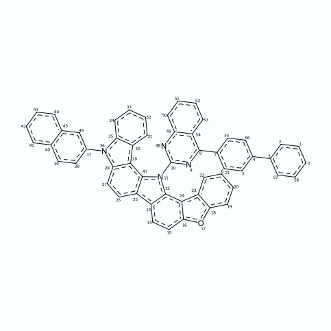 c1ccc(-c2ccc(-c3nc(-n4c5c(ccc6oc7ccccc7c65)c5ccc6c(c7ccccc7n6-c6ccc7ccccc7c6)c54)nc4ccccc34)cc2)cc1